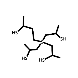 CC(S)CCS(CC(C)S)(CC(C)S)CC(C)S